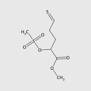 COC(=O)C(CCC=S)OS(C)(=O)=O